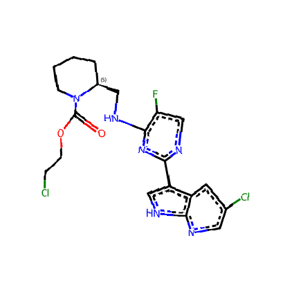 O=C(OCCCl)N1CCCC[C@H]1CNc1nc(-c2c[nH]c3ncc(Cl)cc23)ncc1F